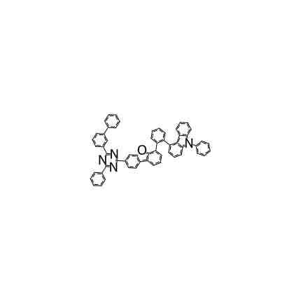 c1ccc(-c2cccc(-c3nc(-c4ccccc4)nc(-c4ccc5c(c4)oc4c(-c6ccccc6-c6cccc7c6c6ccccc6n7-c6ccccc6)cccc45)n3)c2)cc1